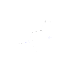 CCCCCC(N)CN(C)C(C)C